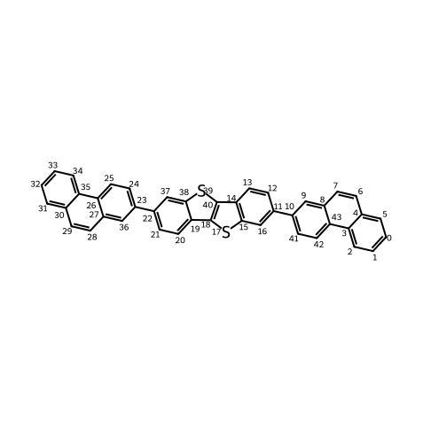 c1ccc2c(c1)ccc1cc(-c3ccc4c(c3)sc3c5ccc(-c6ccc7c(ccc8ccccc87)c6)cc5sc43)ccc12